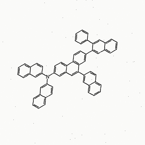 c1ccc(-c2cc3ccccc3cc2-c2ccc3c(c2)c(-c2ccc4ccccc4c2)cc2cc(N(c4ccc5ccccc5c4)c4ccc5ccccc5c4)ccc23)cc1